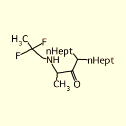 CCCCCCCC(CCCCCCC)C(=O)C(C)NCC(C)(F)F